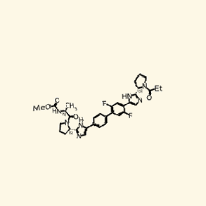 CCC(=O)N1CCC[C@H]1c1ncc(-c2cc(F)c(-c3ccc(-c4cnc([C@@H]5CCCN5C(=O)[C@H](C)NC(=O)OC)[nH]4)cc3)cc2F)[nH]1